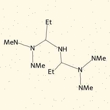 CCC(NC(CC)N(NC)NC)N(NC)NC